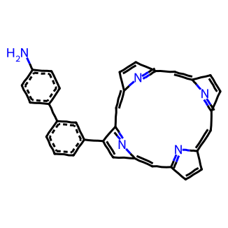 Nc1ccc(-c2cccc(C3=CC4=CC5=NC(=CC6=NC(=CC7=NC(=CC3=N4)C=C7)C=C6)C=C5)c2)cc1